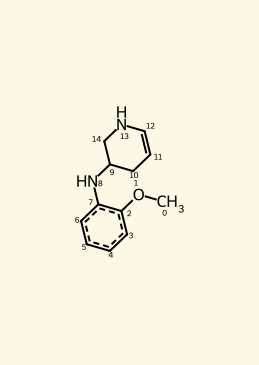 COc1ccccc1NC1CC=CNC1